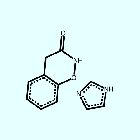 O=C1Cc2ccccc2ON1.c1c[nH]cn1